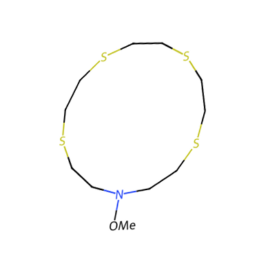 CON1CCSCCSCCSCCSCC1